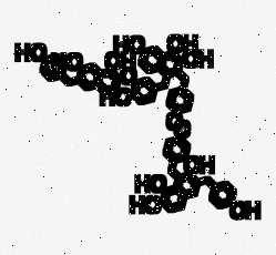 Oc1ccc(Cc2cc3ccc(Oc4cc(Cc5c(Cc6ccc(OOc7ccc(Cc8c(O)c(Cc9ccc(O)cc9)cc9ccc(O)c(O)c89)cc7)cc6)c(O)c(O)c6cc(O)ccc56)ccc4O)c(O)c3cc2O)cc1